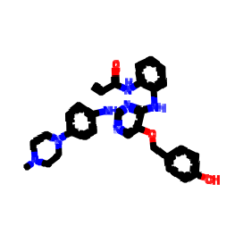 C=CC(=O)Nc1ccccc1Nc1nc(Nc2ccc(N3CCN(C)CC3)cc2)ncc1OCc1ccc(O)cc1